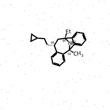 CC[C@]12C[C@@H](CCC3CC3)c3ccccc3[C@](C)(N1)c1ccccc12